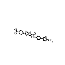 CN(C)C(=O)C1CCN(c2nc3sc(C(=O)Nc4ccc(-c5ccc(C(F)(F)F)nc5)cc4)cc3s2)CC1